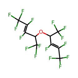 FC(=C(F)C(F)(F)F)C(OC(C(F)=C(F)C(F)(F)F)C(F)(F)F)C(F)(F)F